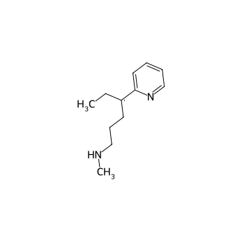 CC[C](CCCNC)c1ccccn1